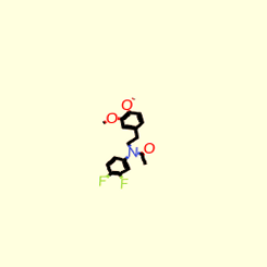 COc1ccc(CCN(C(C)=O)c2ccc(F)c(F)c2)cc1OC